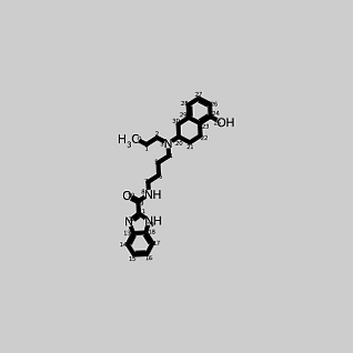 CCCN(CCCCNC(=O)c1nc2ccccc2[nH]1)C1CCc2c(O)cccc2C1